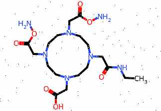 CCNC(=O)CN1CCN(CC(=O)O)CCN(CC(=O)ON)CCN(CC(=O)ON)CC1